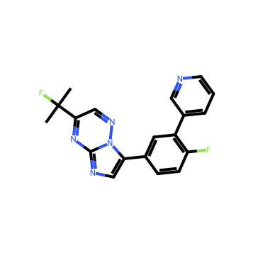 CC(C)(F)c1cnn2c(-c3ccc(F)c(-c4cccnc4)c3)cnc2n1